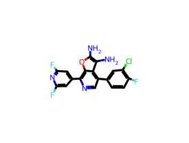 Nc1oc2c(-c3cc(F)nc(F)c3)ncc(-c3ccc(F)c(Cl)c3)c2c1N